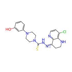 Oc1cccc(N2CCN(C(=S)N/N=C3/CCNc4c(Cl)ccnc43)CC2)c1